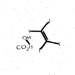 IC(I)=C(I)I.O=C(O)O